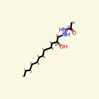 CCCCCCCCCCC(O)CNNC(C)=O